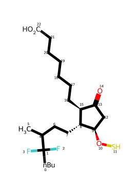 CCCCC(F)(F)C(C)CC[C@H]1[C@H](OS)CC(=O)[C@@H]1CCCCCCC(=O)O